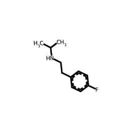 CC(C)NCCc1ccc(F)cc1